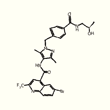 Cc1nn(Cc2ccc(C(=O)NC[C@@H](C)O)cc2)c(C)c1NC(=O)c1cc(C(F)(F)F)nc2ccc(Br)cc12